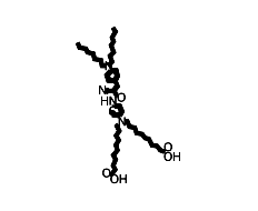 CCCCCCCCN(CCCCCCCC)c1ccc(/C=C(\C#N)C(=O)Nc2ccc(N(CCCCCCCCCCC(=O)O)CCCCCCCCCCC(=O)O)cc2)cc1